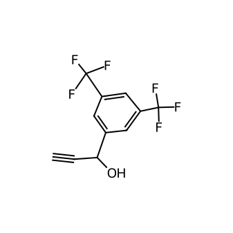 C#CC(O)c1cc(C(F)(F)F)cc(C(F)(F)F)c1